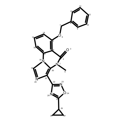 Cn1c(=O)c2c(OCc3ccccc3)cccc2n2cnc(-c3noc(C4CC4)n3)c12